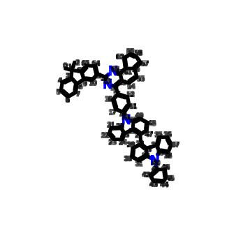 CC1(C)c2ccccc2-c2cc(-c3nc(-c4ccc(-n5c6ccccc6c6c(-c7cccc8c7c7ccccc7n8-c7ccccc7)cccc65)cc4)c4ccc5ccccc5c4n3)ccc21